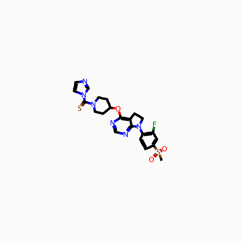 CS(=O)(=O)c1ccc(N2CCc3c(OC4CCN(C(=S)n5ccnc5)CC4)ncnc32)c(F)c1